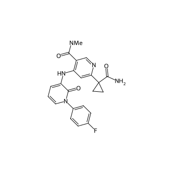 CNC(=O)c1cnc(C2(C(N)=O)CC2)cc1Nc1cccn(-c2ccc(F)cc2)c1=O